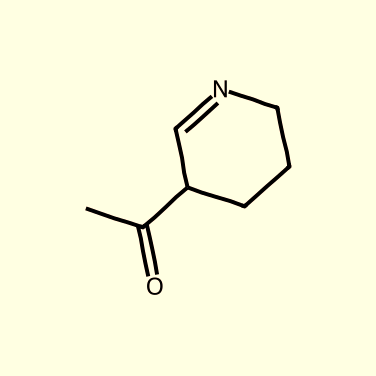 CC(=O)C1C=NCCC1